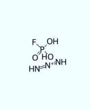 N=[N+]=N.O=P(O)(O)F